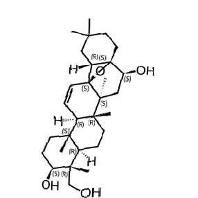 CC1(C)CC[C@]23CO[C@@]4(C=C[C@@H]5[C@@]6(C)CC[C@H](O)[C@@](C)(CO)[C@@H]6CC[C@@]5(C)[C@]4(C)C[C@@H]2O)[C@@H]3C1